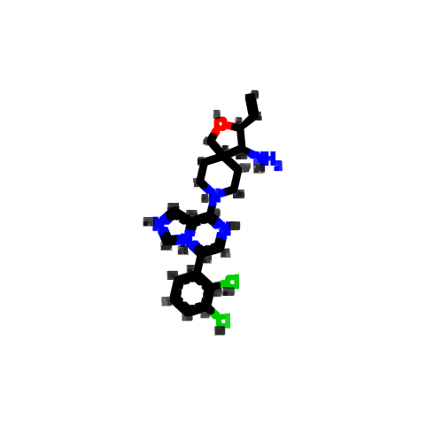 C=C[C@@H]1OCC2(CCN(c3ncc(-c4cccc(Cl)c4Cl)n4cncc34)CC2)[C@@H]1N